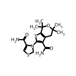 CC1(C)Cc2c(sc(N3CSC=C3C(N)=O)c2C(N)=O)C(C)(C)O1